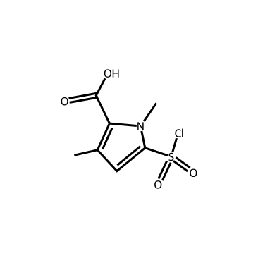 Cc1cc(S(=O)(=O)Cl)n(C)c1C(=O)O